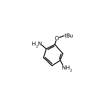 CC(C)(C)Oc1cc(N)ccc1N